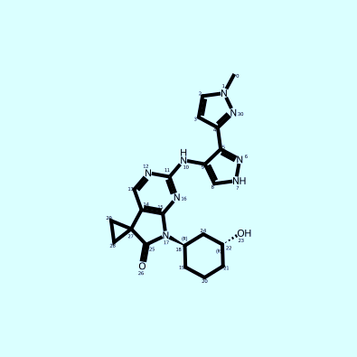 Cn1ccc(-c2n[nH]cc2Nc2ncc3c(n2)N([C@@H]2CCC[C@@H](O)C2)C(=O)C32CC2)n1